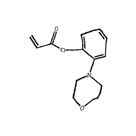 C=CC(=O)Oc1ccccc1N1CCOCC1